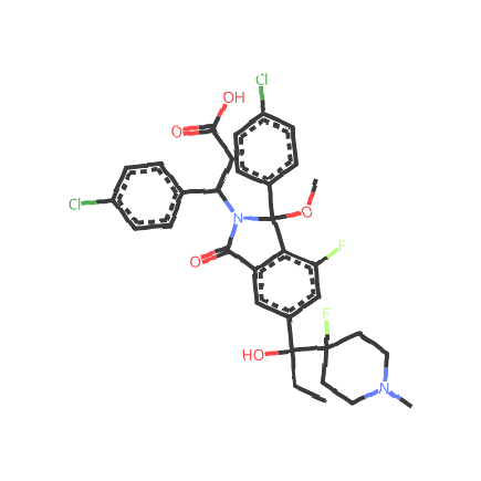 CCC(O)(c1cc(F)c2c(c1)C(=O)N(C(CC(=O)O)c1ccc(Cl)cc1)C2(OC)c1ccc(Cl)cc1)C1(F)CCN(C)CC1